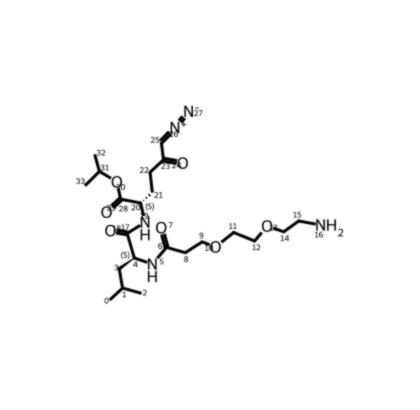 CC(C)C[C@H](NC(=O)CCOCCOCCN)C(=O)N[C@@H](CCC(=O)C=[N+]=[N-])C(=O)OC(C)C